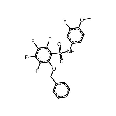 COc1ccc(NS(=O)(=O)c2c(F)c(F)c(F)c(F)c2OCc2ccccc2)cc1F